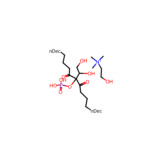 CCCCCCCCCCCCCC(=O)C(OP(=O)(O)O)(C(=O)CCCCCCCCCCCCC)C(O)CO.C[N+](C)(C)CCO